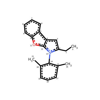 CCc1cc2c3ccccc3oc2n1-c1c(C)cccc1C